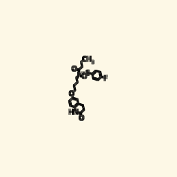 CCCC(=O)[N+](=CCCCOc1ccc2c(c1)CCC(=O)N2)OSc1ccc(F)cc1